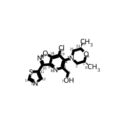 C[C@@H]1CN(c2c(CO)nc3c(-c4cncs4)noc3c2Cl)C[C@H](C)O1